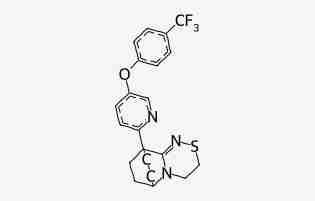 FC(F)(F)c1ccc(Oc2ccc(C34CCC(CC3)N3CCSN=C34)nc2)cc1